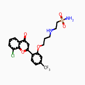 NS(=O)(=O)CCNCCCOc1cc(C(F)(F)F)ccc1-c1cc(=O)c2cccc(Cl)c2o1